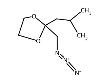 CC(C)CC1(CN=[N+]=[N-])OCCO1